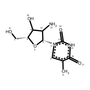 Cc1cn([C@@H]2O[C@H](CO)C(O)C2N)c(=O)[nH]c1=O